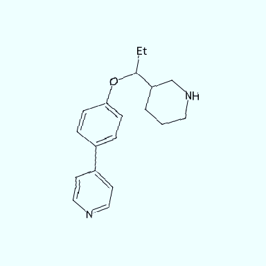 CCC(Oc1ccc(-c2ccncc2)cc1)C1CCCNC1